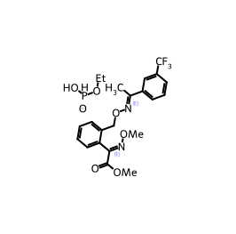 CCO[PH](=O)O.CO/N=C(/C(=O)OC)c1ccccc1CO/N=C(\C)c1cccc(C(F)(F)F)c1